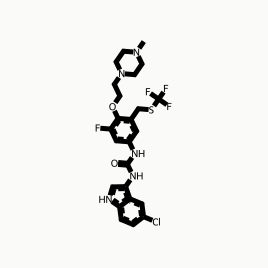 CN1CCN(CCOc2c(F)cc(NC(=O)Nc3c[nH]c4ccc(Cl)cc34)cc2CSC(F)(F)F)CC1